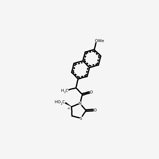 COc1ccc2cc(C(C)C(=O)N3C(=O)SC[C@H]3C(=O)O)ccc2c1